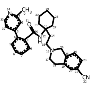 Cc1cc(-c2ccccc2C(=O)NC2(CCN3CCc4cc(C#N)ccc4C3)CCCCC2)ccn1